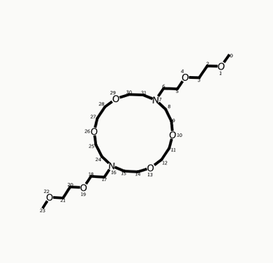 COCCOCCN1CCOCCOCCN(CCOCCOC)CCOCCOCC1